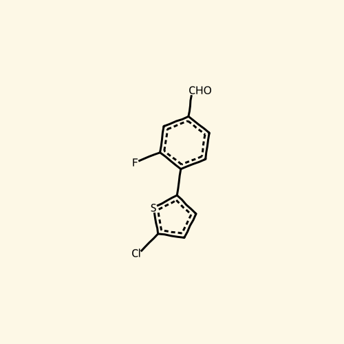 O=Cc1ccc(-c2ccc(Cl)s2)c(F)c1